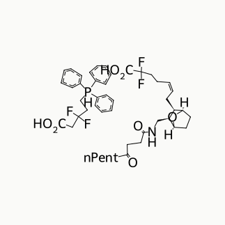 CCCCCC(=O)CCC(=O)NC[C@H]1[C@@H](C/C=C\CCC(F)(F)C(=O)O)[C@H]2CC[C@@H]1O2.O=C(O)CC(F)(F)CC[PH](c1ccccc1)(c1ccccc1)c1ccccc1